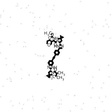 COC(=O)N[C@H](C(=O)N1CC2(CC2)C[C@H]1c1ncc(-c2ccc(C#Cc3ccc4nc([C@@H]5CC6(CC6)CN5C(=O)[C@@H](C)C(C)C)[nH]c4c3)cc2)[nH]1)C1CCCOC1